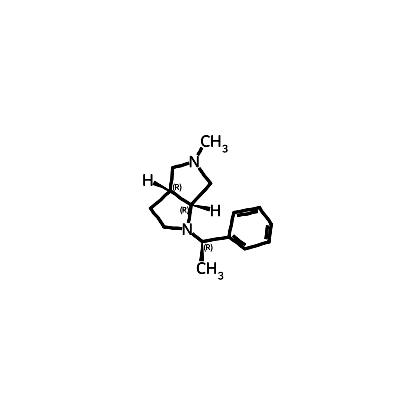 C[C@H](c1ccccc1)N1CC[C@@H]2CN(C)C[C@@H]21